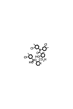 Cc1ccc(B(C(=O)c2ncccc2O)c2ccc(C)c(Cl)c2)cc1Cl.Cc1ccc(B(O)Oc2cccnc2C(=O)O)cc1Cl